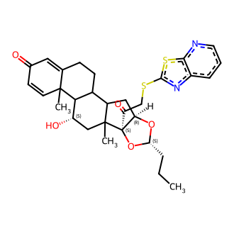 CCC[C@H]1O[C@@H]2CC3C4CCC5=CC(=O)C=CC5(C)C4[C@@H](O)CC3(C)[C@]2(C(=O)CSc2nc3cccnc3s2)O1